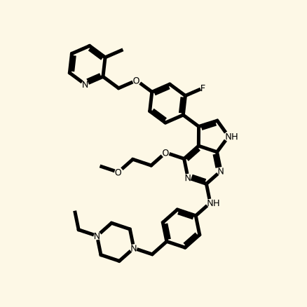 CCN1CCN(Cc2ccc(Nc3nc(OCCOC)c4c(-c5ccc(OCc6ncccc6C)cc5F)c[nH]c4n3)cc2)CC1